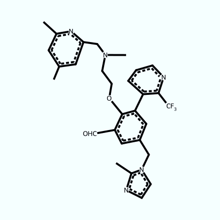 Cc1cc(C)nc(CN(C)CCOc2c(C=O)cc(Cn3ccnc3C)cc2-c2cccnc2C(F)(F)F)c1